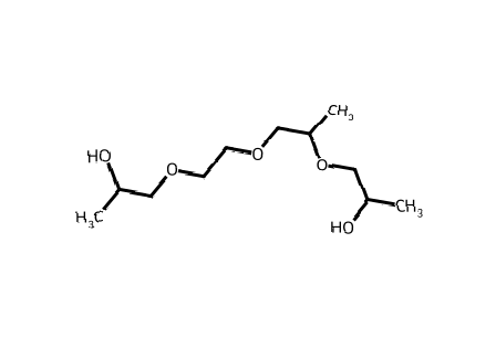 CC(O)COCCOCC(C)OCC(C)O